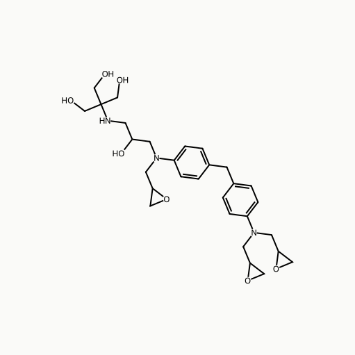 OCC(CO)(CO)NCC(O)CN(CC1CO1)c1ccc(Cc2ccc(N(CC3CO3)CC3CO3)cc2)cc1